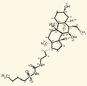 CCCCS(=O)(=O)NC(=O)NCCC[C@H]1CC[C@H]2[C@@H]3[C@H](O)[C@H](CC)[C@@H]4C[C@H](O)CC[C@]4(C)[C@H]3CC[C@]12C